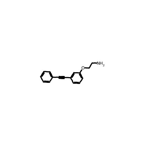 NCCOc1cccc(C#Cc2ccccc2)c1